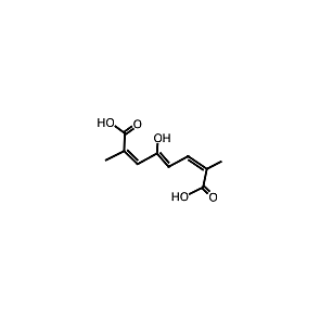 CC(=CC=C(O)C=C(C)C(=O)O)C(=O)O